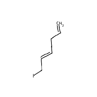 C=CCC=CCI